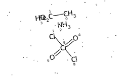 CC(=O)O.N.[Fe].[O]=[Cr](=[O])([Cl])[Cl]